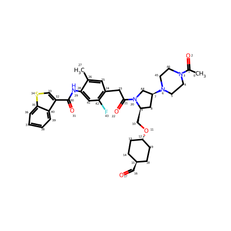 CC(=O)N1CCN([C@H]2C[C@@H](CO[C@H]3CC[C@H](C=O)CC3)N(C(=O)Cc3cc(C)c(NC(=O)c4csc5ccccc45)cc3F)C2)CC1